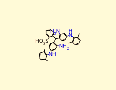 Cc1cccc(C)c1Nc1ccc(C(c2ccc(Nc3c(C)cccc3C)cc2N)c2ccccc2S(=O)(=O)O)c(N)c1